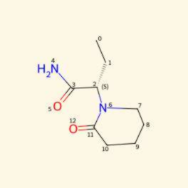 CC[C@@H](C(N)=O)N1CCCCC1=O